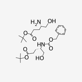 CC(C)(C)OC(=O)CC[C@@H](CO)NC(=O)OCc1ccccc1.CC(C)(C)OC(=O)CC[C@H](N)CO